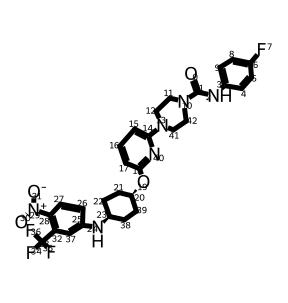 O=C(Nc1ccc(F)cc1)N1CCN(c2cccc(O[C@H]3CC[C@H](Nc4ccc([N+](=O)[O-])c(C(F)(F)F)c4)CC3)n2)CC1